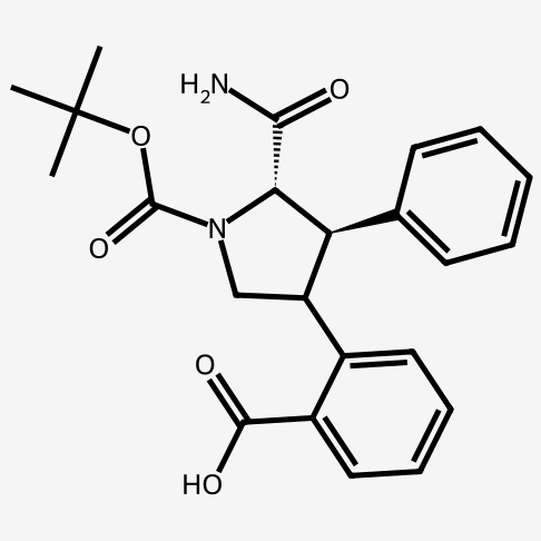 CC(C)(C)OC(=O)N1CC(c2ccccc2C(=O)O)[C@H](c2ccccc2)[C@H]1C(N)=O